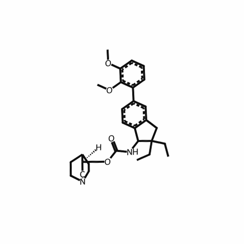 CCC1(CC)Cc2cc(-c3cccc(OC)c3OC)ccc2C1NC(=O)O[C@H]1CN2CCC1CC2